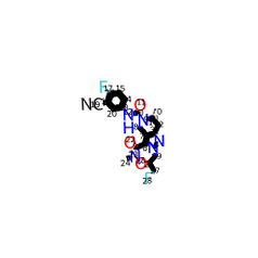 C[C@@H]1Cc2nn3c(c2CN1C(=O)Nc1ccc(F)c(C#N)c1)C(=O)N(C)OC(CF)C3